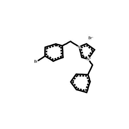 Brc1ccc(Cn2cc[n+](Cc3ccccc3)c2)cc1.[Br-]